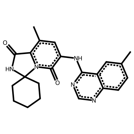 Cc1ccc2ncnc(Nc3cc(C)c4n(c3=O)C3(CCCCC3)NC4=O)c2c1